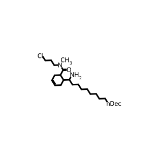 CCCCCCCCCCCCCCCCCCC(N)C1CC=CCC1C(=O)N(C)CCCCl